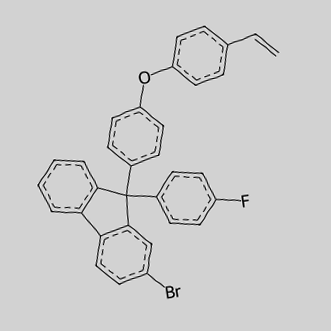 C=Cc1ccc(Oc2ccc(C3(c4ccc(F)cc4)c4ccccc4-c4ccc(Br)cc43)cc2)cc1